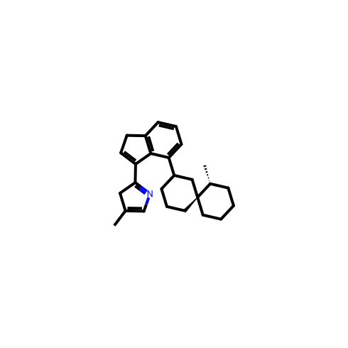 CC1=CN=C(C2=CCc3cccc(C4CCC[C@@]5(CCCC[C@H]5C)C4)c32)C1